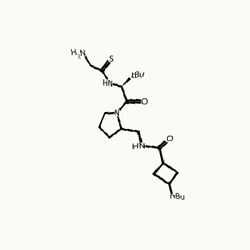 CCCCC1CC(C(=O)NCC2CCCN2C(=O)[C@@H](NC(=S)CN)C(C)(C)C)C1